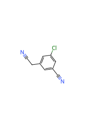 N#CCc1cc(Cl)cc(C#N)c1